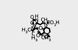 CO[C@@H]1[C@H](N(C(=O)O)[C@@H](C)Cc2noc(=O)[nH]2)CC[C@]2(CO2)[C@H]1[C@@]1(C)O[C@@H]1CC=C(C)C